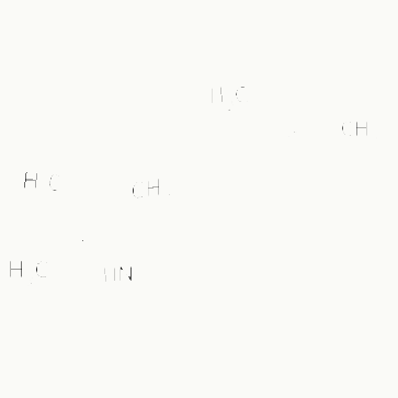 C=C(C)c1cccc(NC(C)(C)C)c1